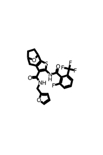 O=C(Nc1sc2c(c1C(=O)NCc1ccco1)CC1CCC2O1)c1c(F)cccc1C(F)(F)F